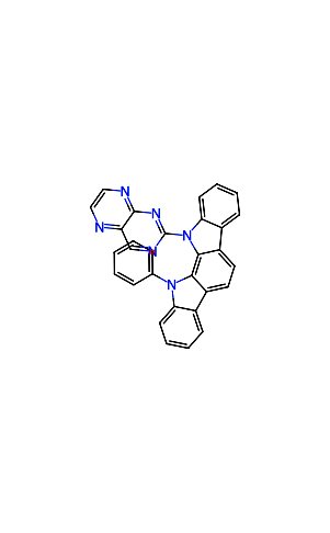 c1ccc(-n2c3ccccc3c3ccc4c5ccccc5n(-c5ncc6nccnc6n5)c4c32)cc1